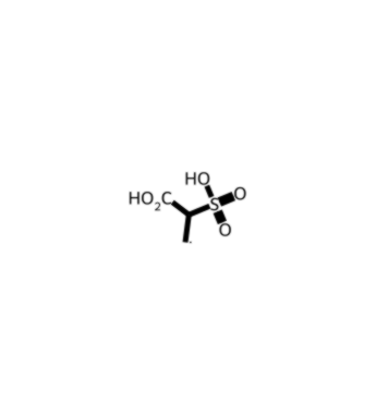 [CH2]C(C(=O)O)S(=O)(=O)O